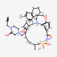 C#CCN1CCN(C[C@]2(O)CCC[C@H](C)[C@@H](C)S(=O)(=O)NC(=O)c3ccc4c(c3)N(C[C@@H]3CC[C@H]32)C[C@@]2(CCCc3cc(Cl)ccc32)CO4)CC1=O